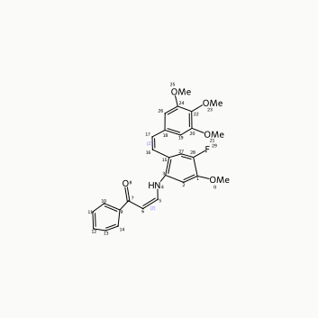 COc1cc(N/C=C\C(=O)c2ccccc2)c(/C=C\c2cc(OC)c(OC)c(OC)c2)cc1F